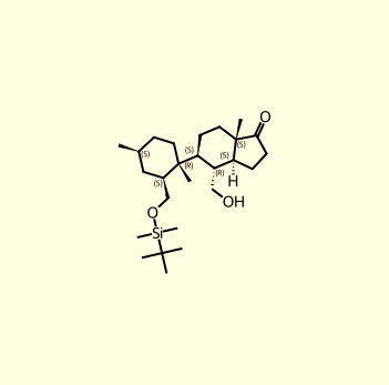 C[C@H]1CC[C@](C)([C@H]2CC[C@]3(C)C(=O)CC[C@H]3[C@@H]2CO)[C@@H](CO[Si](C)(C)C(C)(C)C)C1